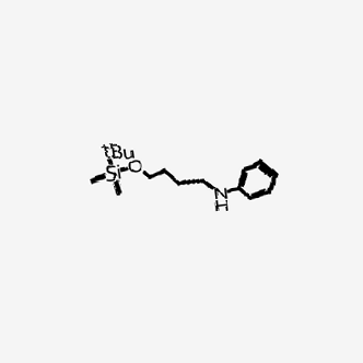 CC(C)(C)[Si](C)(C)OCCCCNc1ccccc1